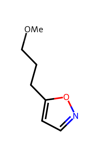 COCCCc1ccno1